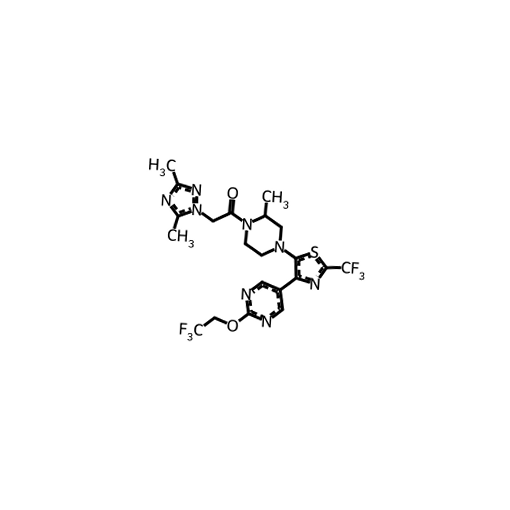 Cc1nc(C)n(CC(=O)N2CCN(c3sc(C(F)(F)F)nc3-c3cnc(OCC(F)(F)F)nc3)CC2C)n1